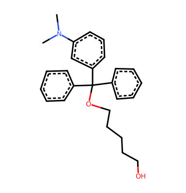 CN(C)c1cccc(C(OCCCCCO)(c2ccccc2)c2ccccc2)c1